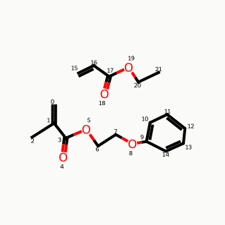 C=C(C)C(=O)OCCOc1ccccc1.C=CC(=O)OCC